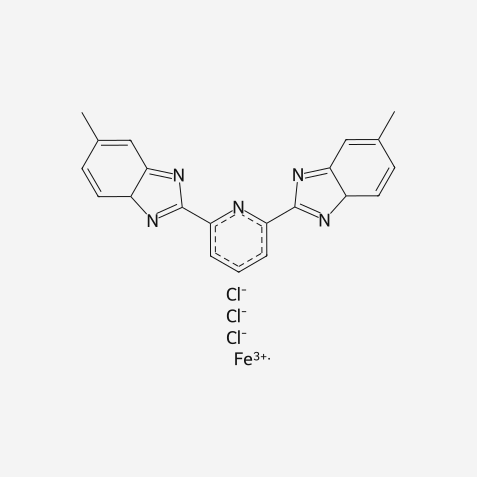 CC1=CC2=NC(c3cccc(C4=NC5C=CC(C)=CC5=N4)n3)=NC2C=C1.[Cl-].[Cl-].[Cl-].[Fe+3]